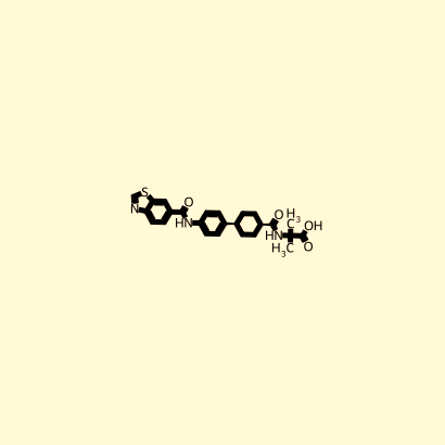 CC(C)(NC(=O)[C@H]1CC[C@@H](c2ccc(NC(=O)c3ccc4ncsc4c3)cc2)CC1)C(=O)O